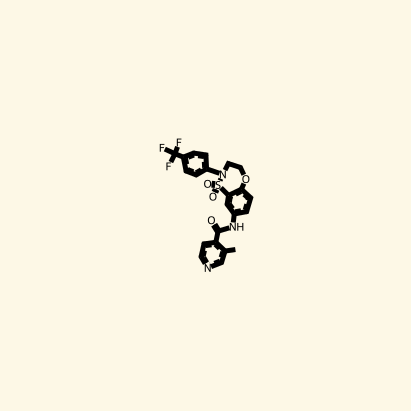 Cc1cnccc1C(=O)Nc1ccc2c(c1)S(=O)(=O)N(c1ccc(C(F)(F)F)cc1)CCO2